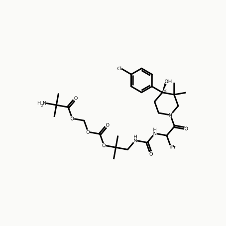 CC(C)C(NC(=O)NCC(C)(C)OC(=O)OCOC(=O)C(C)(C)N)C(=O)N1CC[C@](O)(c2ccc(Cl)cc2)C(C)(C)C1